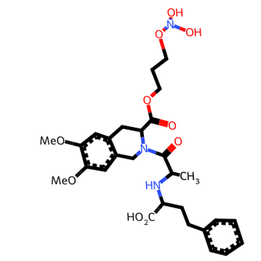 COc1cc2c(cc1OC)CN(C(=O)C(C)NC(CCc1ccccc1)C(=O)O)C(C(=O)OCCCON(O)O)C2